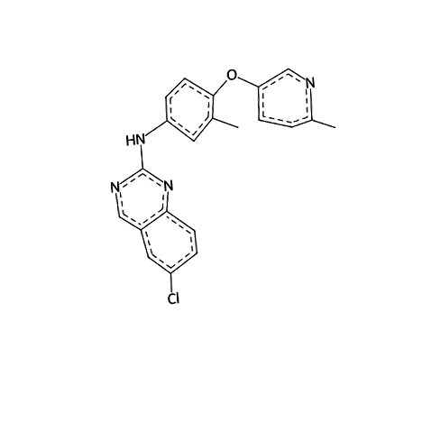 Cc1ccc(Oc2ccc(Nc3ncc4cc(Cl)ccc4n3)cc2C)cn1